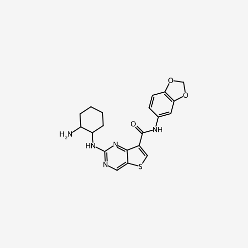 NC1CCCCC1Nc1ncc2scc(C(=O)Nc3ccc4c(c3)OCO4)c2n1